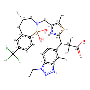 CCn1nnc2c(C)c([C@H](c3nc(CN4C[C@@H](C)Cc5cc(C(F)(F)F)ccc5S4(O)O)c(C)s3)C(C)(C)C(=O)O)ccc21